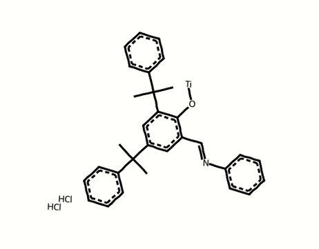 CC(C)(c1ccccc1)c1cc(C=Nc2ccccc2)c([O][Ti])c(C(C)(C)c2ccccc2)c1.Cl.Cl